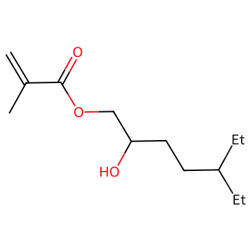 C=C(C)C(=O)OCC(O)CCC(CC)CC